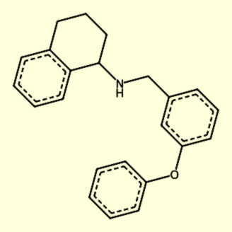 c1ccc(Oc2cccc(CNC3CCCc4ccccc43)c2)cc1